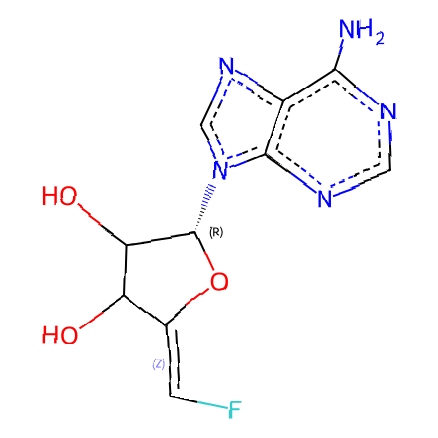 Nc1ncnc2c1ncn2[C@@H]1O/C(=C\F)C(O)C1O